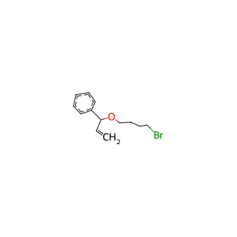 C=CC(OCCCCBr)c1ccccc1